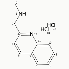 CNCc1ccc2ccccc2n1.Cl.Cl